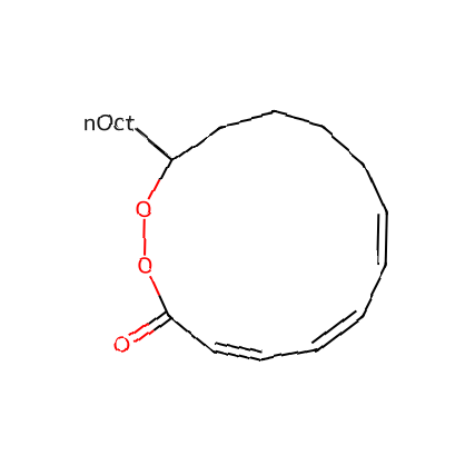 CCCCCCCCC1CCCCC=CC=CC=CC(=O)OO1